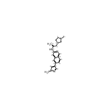 C=C(CN1CC[C@@H](F)C1)Nc1cc2cc(-c3cnn(C)c3)ccc2cn1